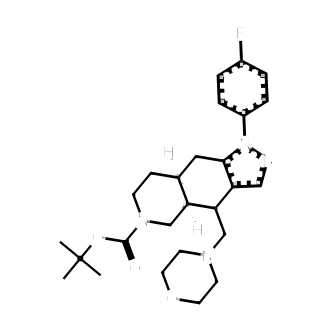 CC(C)(C)OC(=O)N1CC[C@H]2Cc3c(cnn3-c3ccc(F)cc3)C(CN3CCOCC3)[C@H]2C1